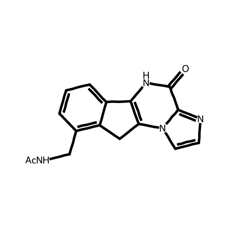 CC(=O)NCc1cccc2c1Cc1c-2[nH]c(=O)c2nccn12